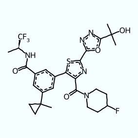 C[C@H](NC(=O)c1cc(-c2sc(-c3nnc(C(C)(C)O)o3)nc2C(=O)N2CCC(F)CC2)cc(C2(C)CC2)c1)C(F)(F)F